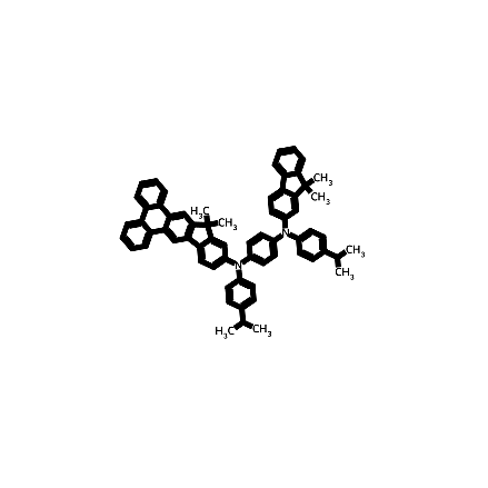 CC(C)c1ccc(N(c2ccc(N(c3ccc(C(C)C)cc3)c3ccc4c(c3)C(C)(C)c3cc5c6ccccc6c6ccccc6c5cc3-4)cc2)c2ccc3c(c2)C(C)(C)c2ccccc2-3)cc1